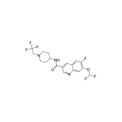 O=C(NC1CCN(CC(F)(F)F)CC1)c1cnc2cc(OC(F)F)c(F)cc2c1